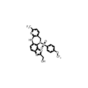 O=S(=O)(c1ccc(OC(F)(F)F)cc1)N1Cc2ccc(C(F)(F)F)nc2Nc2ccc3nc(CO)oc3c21